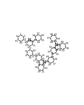 c1ccc(-c2cc(-c3cccc(-c4ccc5c(c4)c4ccccc4n5-c4cccc(-c5ccc6c(c5)c5ccccc5n6-c5ccccc5)c4)c3)cc(-c3ccccc3)n2)cc1